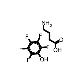 NCCCC(=O)O.Oc1c(F)c(F)c(F)c(F)c1F